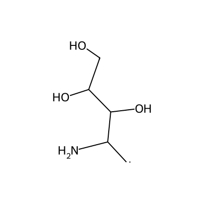 [CH2]C(N)C(O)C(O)CO